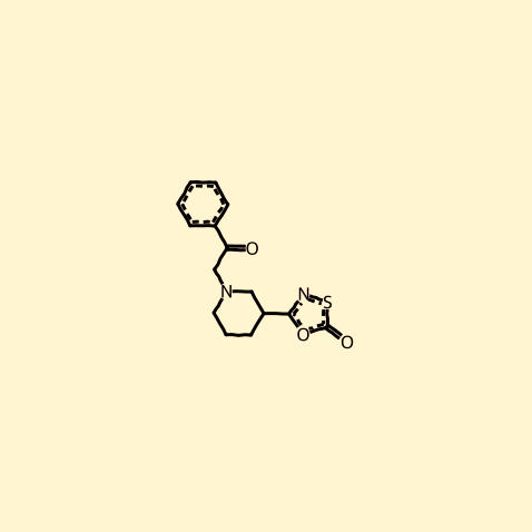 O=C(CN1CCCC(c2nsc(=O)o2)C1)c1ccccc1